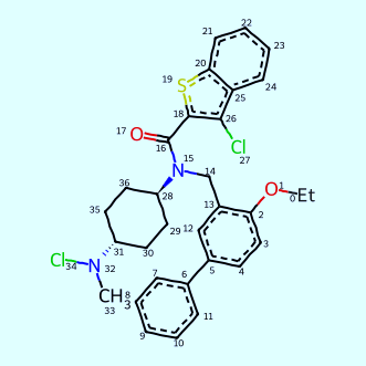 CCOc1ccc(-c2ccccc2)cc1CN(C(=O)c1sc2ccccc2c1Cl)[C@H]1CC[C@H](N(C)Cl)CC1